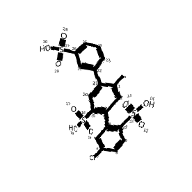 Cc1cc(-c2cc(Cl)ccc2S(=O)(=O)O)c(S(=O)(=O)O)cc1-c1cccc(S(=O)(=O)O)c1